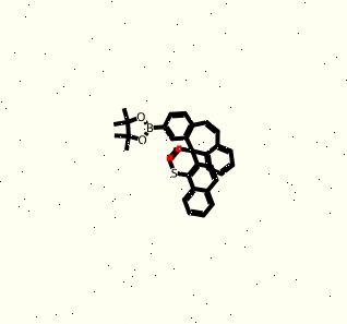 CC1(C)OB(c2ccc3c(c2)C2(c4ccccc4C=C3)c3ccccc3Sc3c2ccc2ccccc32)OC1(C)C